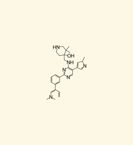 C=C/C(=C\N(C)C)c1cccc(-c2ncc(C3=CC(C)N=C3)c(NCC3(O)CCNCC3(C)C)n2)c1